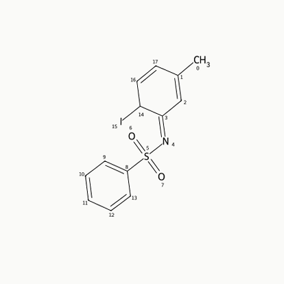 CC1=CC(=NS(=O)(=O)c2ccccc2)C(I)C=C1